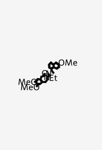 CCC(N1CCc2cc(OC)c(OC)cc2CC1=O)N(C)C(C)c1cccc2cc(OC)ccc12